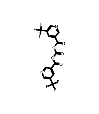 O=C(OC(=O)c1cncc(C(F)(F)F)c1)OC(=O)c1cncc(C(F)(F)F)c1